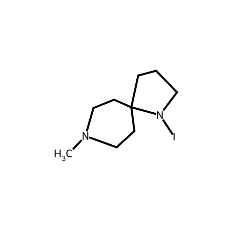 CN1CCC2(CCCN2I)CC1